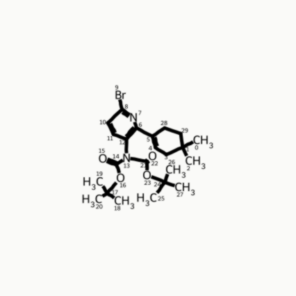 CC1(C)CC=C(c2nc(Br)ccc2N(C(=O)OC(C)(C)C)C(=O)OC(C)(C)C)CC1